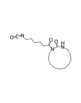 O=C=NCCCCCC(=O)N1CCCCCCCCCCNC1=O